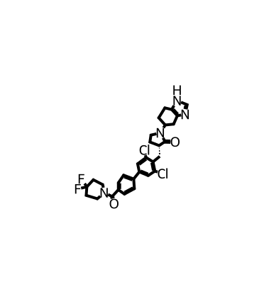 O=C(c1ccc(-c2cc(Cl)c(C[C@@H]3CCN(C4CCc5[nH]cnc5C4)C3=O)c(Cl)c2)cc1)N1CCC(F)(F)CC1